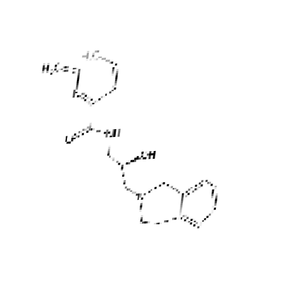 C=C/N=C(\C=C/C)C(=O)NC[C@@H](O)CN1CCc2ccccc2C1